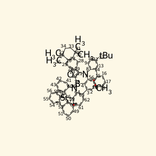 Cc1cc2c3c(c1)N(c1ccc(C(C)(C)C)cc1-c1ccccc1)c1c(oc4cc5c(cc14)C(C)(C)CCC5(C)C)B3N1c3ccccc3[Si]3(c4ccccc4-c4ccccc43)c3cccc-2c31